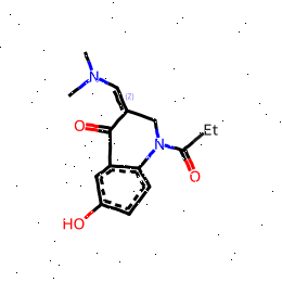 CCC(=O)N1C/C(=C/N(C)C)C(=O)c2cc(O)ccc21